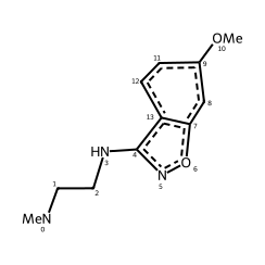 CNCCNc1noc2cc(OC)ccc12